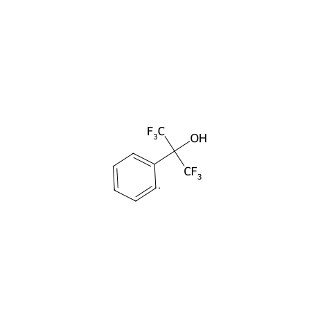 OC(c1[c]cccc1)(C(F)(F)F)C(F)(F)F